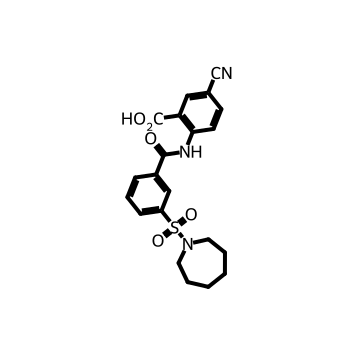 N#Cc1ccc(NC(=O)c2cccc(S(=O)(=O)N3CCCCCC3)c2)c(C(=O)O)c1